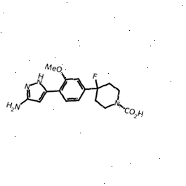 COc1cc(C2(F)CCN(C(=O)O)CC2)ccc1-c1cc(N)n[nH]1